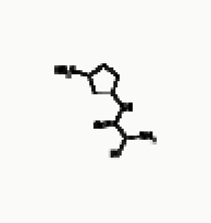 CC(C)C(N)C(=O)NC1CCC(S(=O)(=O)O)C1